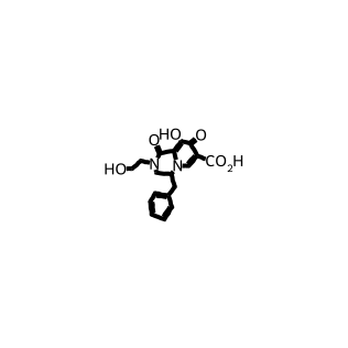 O=C(O)c1cn2c(c(O)c1=O)C(=O)N(CCO)CC2Cc1ccccc1